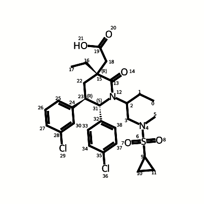 CCC(CN(C)S(=O)(=O)C1CC1)N1C(=O)[C@@](CC)(CC(=O)O)C[C@H](c2cccc(Cl)c2)[C@H]1c1ccc(Cl)cc1